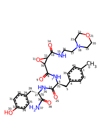 Cc1ccc(C[C@H](NC(=O)C2OC2C(=O)NCCN2CCOCC2)C(=O)N[C@@H](Cc2ccc(O)cc2)C(N)=O)cc1